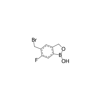 OB1OCc2cc(CBr)c(F)cc21